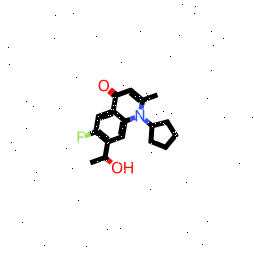 Cc1cc(=O)c2cc(F)c(C(C)O)cc2n1C1CCCC1